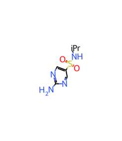 CC(C)NS(=O)(=O)c1cnc(N)nc1